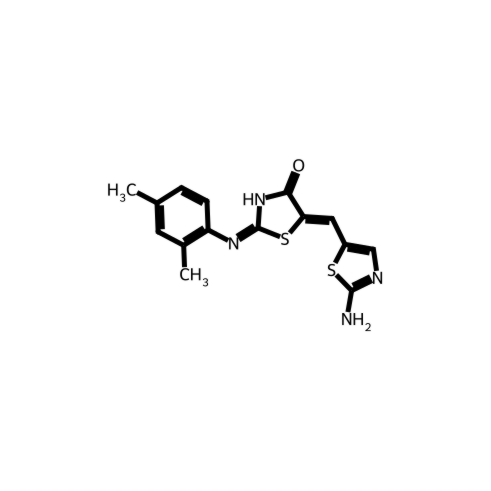 Cc1ccc(N=C2NC(=O)C(=Cc3cnc(N)s3)S2)c(C)c1